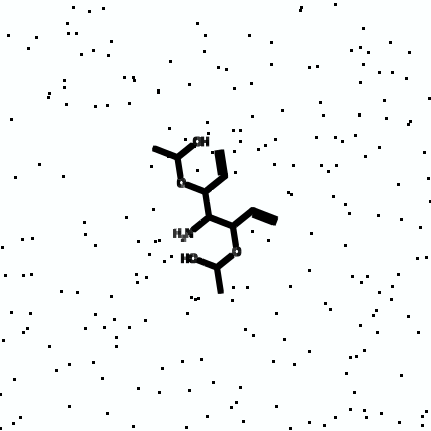 C=CC(OC(C)O)C(N)C(C=C)OC(C)O